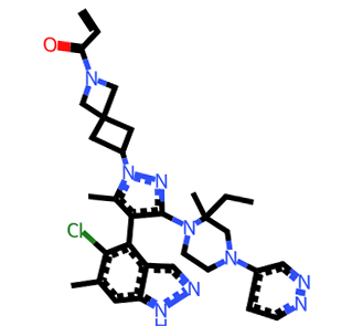 C=CC(=O)N1CC2(CC(n3nc(N4CCN(c5ccnnc5)CC4(C)CC)c(-c4c(Cl)c(C)cc5[nH]ncc45)c3C)C2)C1